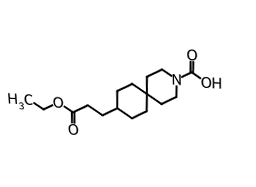 CCOC(=O)CCC1CCC2(CC1)CCN(C(=O)O)CC2